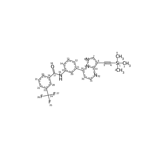 C[Si](C)(C)C#Cc1cnn2c(-c3cccc(NC(=O)c4cccc(C(F)(F)F)c4)c3)ccnc12